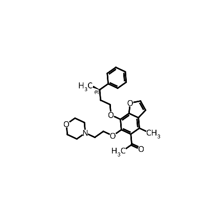 CC(=O)c1c(OCCN2CCOCC2)c(OCC[C@@H](C)c2ccccc2)c2occc2c1C